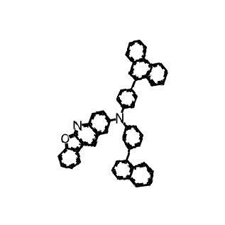 c1cc(-c2cccc3ccccc23)cc(N(c2ccc(-c3cc4ccccc4c4ccccc34)cc2)c2ccc3nc4oc5ccccc5c4cc3c2)c1